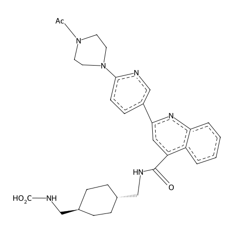 CC(=O)N1CCN(c2ccc(-c3cc(C(=O)NC[C@H]4CC[C@H](CNC(=O)O)CC4)c4ccccc4n3)cn2)CC1